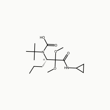 CCC[C@H](N(C(=O)O)C(C)(C)C)C(OC)(OC)C(=O)NC1CC1